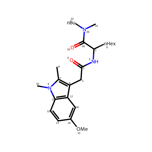 CCCCCCC(NC(=O)Cc1c(C)n(C)c2ccc(OC)cc12)C(=O)N(C)CCCC